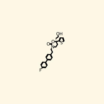 O=C1O[C@@](CCO)(c2cccs2)CCN1CCc1ccc(-c2ccc(F)cc2)cc1